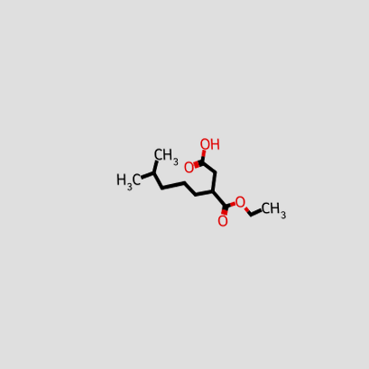 CCOC(=O)C(CCCC(C)C)CC(=O)O